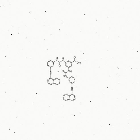 O=C(Nc1cccc(C#Cc2cccc3ccccc23)c1)Nc1cc(NC(=O)Nc2cccc(C#Cc3cccc4ccccc34)c2)cc(C(=O)O)c1